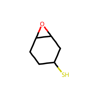 SC1CCC2OC2C1